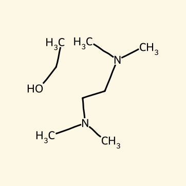 CCO.CN(C)CCN(C)C